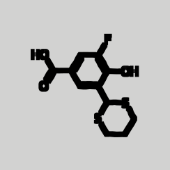 O=C(O)c1cc(F)c(O)c(C2SCCCS2)c1